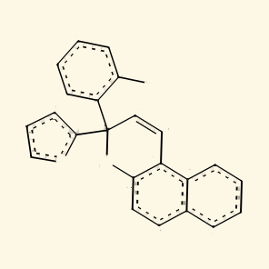 Fc1ccccc1C1(c2ccco2)C=Cc2c(ccc3ccccc23)O1